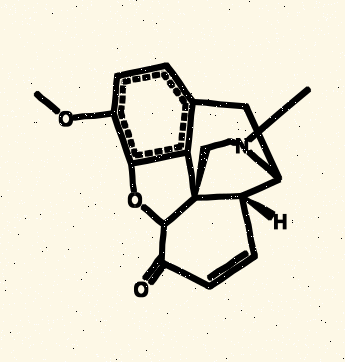 COc1ccc2c3c1OC1C(=O)C=C[C@H]4C(C2)N(C)CC[C@]314